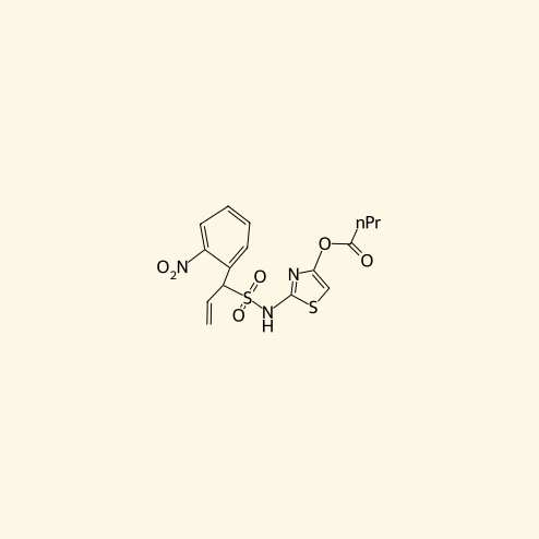 C=CC(c1ccccc1[N+](=O)[O-])S(=O)(=O)Nc1nc(OC(=O)CCC)cs1